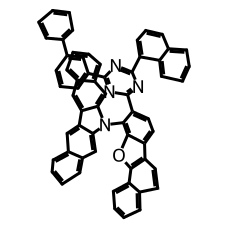 c1ccc(-c2cccc(-c3nc(-c4ccc5c(oc6c7ccccc7ccc56)c4-n4c5cc6ccccc6cc5c5cc6ccccc6cc54)nc(-c4cccc5ccccc45)n3)c2)cc1